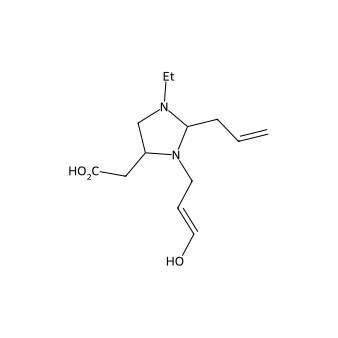 C=CCC1N(CC)CC(CC(=O)O)N1CC=CO